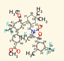 COC(=O)c1ccc(-c2cc(C3=C(CN4C(=O)O[C@H](c5cc(C)cc(C(F)(F)F)c5)[C@@H]4C)CC(C)(C)CC3)c(OC)cc2C(F)(F)F)c(F)c1